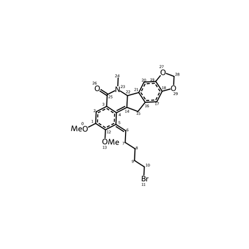 COc1cc2c(c(=CCCCCBr)c1OC)=C1Cc3cc4c(cc3C1N(C)C2=O)OCO4